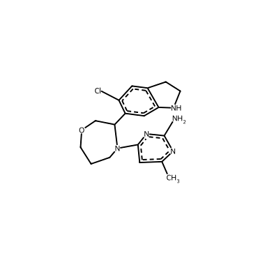 Cc1cc(N2CCCOCC2c2cc3c(cc2Cl)CCN3)nc(N)n1